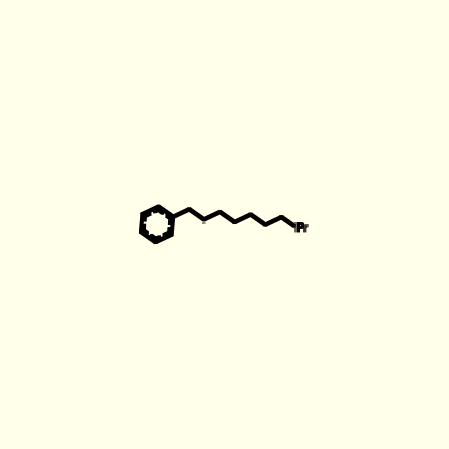 CC(C)CCCCC[CH]Cc1ccccc1